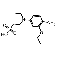 CCOc1cc(N(CC)CCS(=O)(=O)O)ccc1N